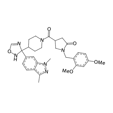 COc1ccc(CN2CC(C(=O)N3CCC(C4(c5ccc6c(C)nn(C)c6c5)N=CON4)CC3)CC2=O)c(OC)c1